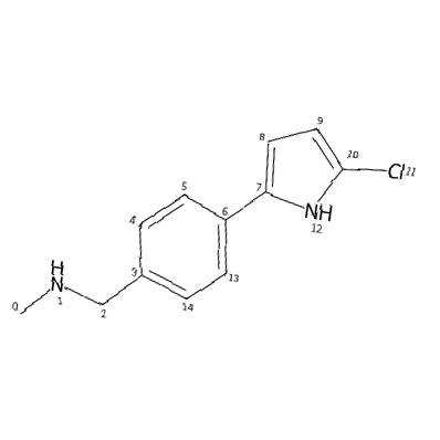 CNCc1ccc(-c2ccc(Cl)[nH]2)cc1